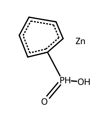 O=[PH](O)c1ccccc1.[Zn]